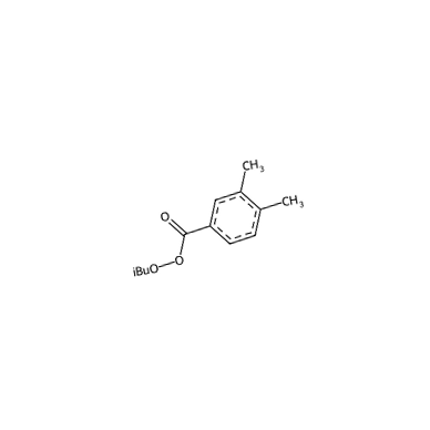 Cc1ccc(C(=O)OO[CH]C(C)C)cc1C